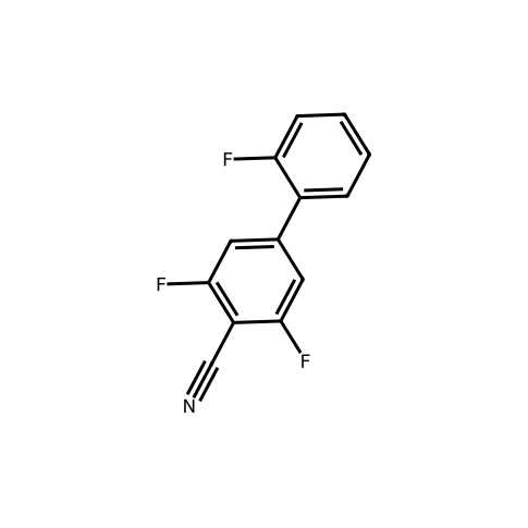 N#Cc1c(F)cc(-c2ccccc2F)cc1F